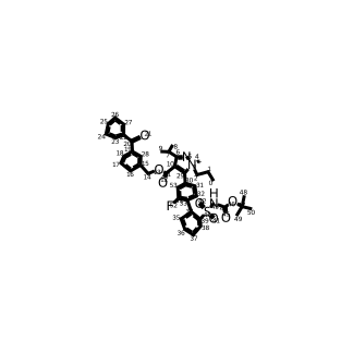 CCC[N+]1(C)N=C(C(C)C)C(C(=O)OCc2cccc(C(=O)c3ccccc3)c2)=C1c1ccc(-c2ccccc2S(=O)(=O)NC(=O)OC(C)(C)C)c(F)c1